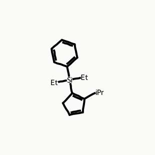 CC[Si](CC)(C1=C(C(C)C)C=CC1)c1ccccc1